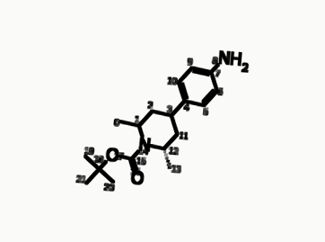 CC1CC(c2ccc(N)cc2)C[C@H](C)N1C(=O)OC(C)(C)C